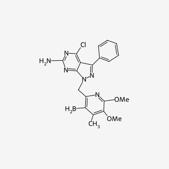 Bc1c(Cn2nc(-c3ccccc3)c3c(Cl)nc(N)nc32)nc(OC)c(OC)c1C